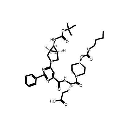 CCCCOC(=O)ON1CCN(C(=O)[C@H](CCC(=O)O)NC(=O)c2cc(N3C[C@@H]4[C@H](C3)[C@@H]4NC(=O)OC(C)(C)C)nc(-c3ccccc3)n2)CC1